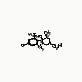 Cc1cc(Cl)cc(F)c1C1(O)[C@H](C)CN(C(=O)O)C[C@@H]1C